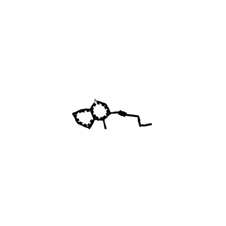 CCCC#Cc1cnc2ccccc2c1C